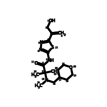 C=C(CO)c1nnc(NC(=O)C(C)(C)N(C)CC2CCOCC2)s1